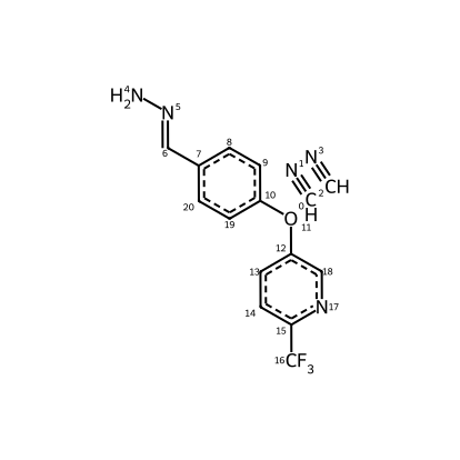 C#N.C#N.NN=Cc1ccc(Oc2ccc(C(F)(F)F)nc2)cc1